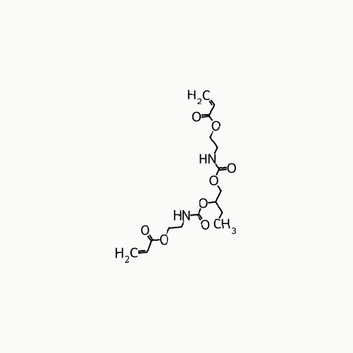 C=CC(=O)OCCNC(=O)OCC(CC)OC(=O)NCCOC(=O)C=C